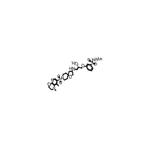 CNS(=O)(=O)c1cccc(OC[C@@H](O)CN[C@H]2COC3(CCN(S(=O)(=O)c4cnc5c(c4C)N(C)CCO5)CC3)C2)c1